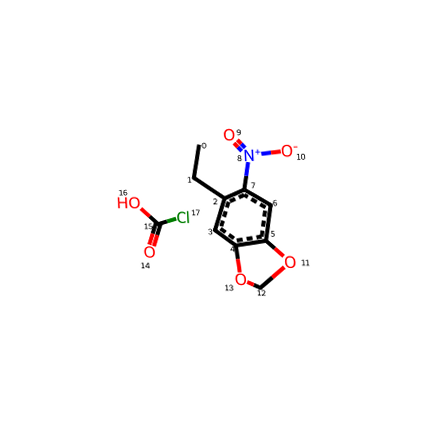 CCc1cc2c(cc1[N+](=O)[O-])OCO2.O=C(O)Cl